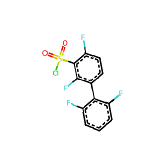 O=S(=O)(Cl)c1c(F)ccc(-c2c(F)cccc2F)c1F